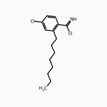 CCCCCCCCc1cc(Cl)ccc1C(=N)Cl